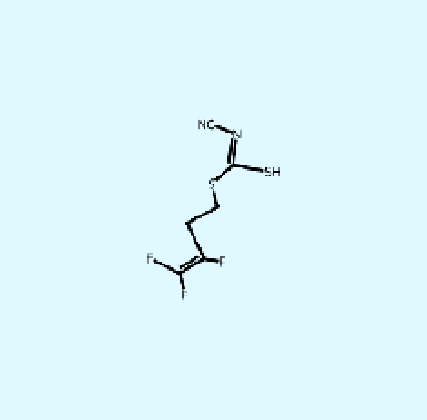 N#CN=C(S)SCCC(F)=C(F)F